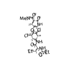 CC/C=C(/NC(=O)CC)C(=O)Nc1cc(Cl)c(Oc2c[nH]c(=O)c(C(=O)NC)c2)c(Cl)c1